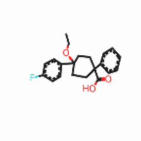 CCOC1(c2ccc(F)cc2)CCC(C(=O)O)(c2ccccc2)CC1